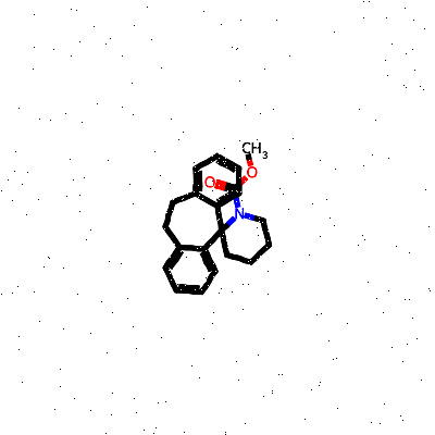 COC(=O)N1CCCCC12c1ccccc1CCc1ccccc12